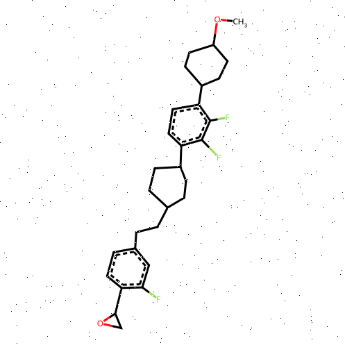 COC1CCC(c2ccc(C3CCC(CCc4ccc(C5CO5)c(F)c4)CC3)c(F)c2F)CC1